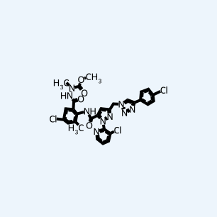 COC(=O)N(C)NC(=O)c1cc(Cl)cc(C)c1NC(=O)c1cc(Cn2cc(-c3ccc(Cl)cc3)nn2)nn1-c1ncccc1Cl